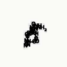 Nc1nc2c(nnn2[C@@H]2O[C@@H]3COC(=O)OCCn4c(nc5cncnc54)COP(=O)(S)O[C@@H]2C3)c(=O)[nH]1